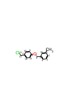 Cc1cccc(COc2ccc(CCl)cc2)c1